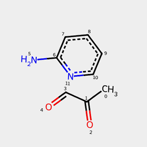 CC(=O)C=O.Nc1ccccn1